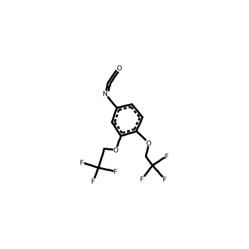 O=C=Nc1ccc(OCC(F)(F)F)c(OCC(F)(F)F)c1